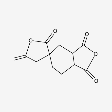 C=C1CC2(CCC3C(=O)OC(=O)C3C2)C(=O)O1